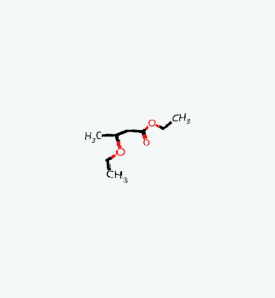 CCOC(=O)CC(C)OCC